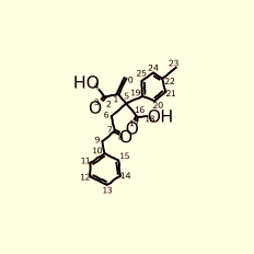 C=C(C(=O)O)C(CC(=O)Cc1ccccc1)(C(=O)O)c1ccc(C)cc1